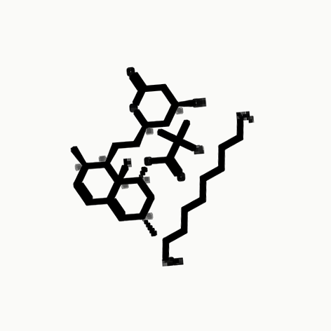 CCC(C)(C)C(=O)O[C@@H]1C[C@H](C)C=C2C=C[C@@H](C)[C@@H](CC[C@@H]3C[C@H](O)CC(=O)O3)[C@@H]21.CCCCCCCCCCCCCCCCCCN